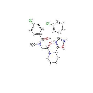 CN(CC(=O)N1CCCCC1c1nc(-c2cccc(Cl)c2)no1)C(=O)c1ccc(Cl)cc1